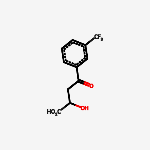 O=C(CC(O)C(=O)O)c1cccc(C(F)(F)F)c1